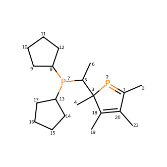 CC1=PC(C)(C(C)P(C2CCCC2)C2CCCC2)C(C)=C1C